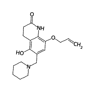 C=CCOc1cc(CN2CCCCC2)c(O)c2c1NC(=O)CC2